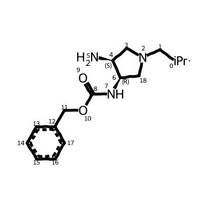 C[C](C)CN1C[C@H](N)[C@H](NC(=O)OCc2ccccc2)C1